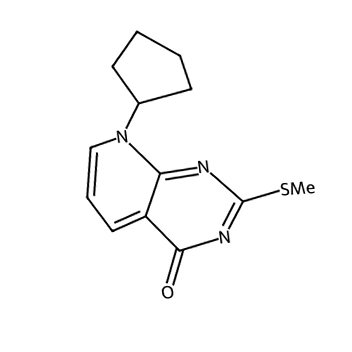 CSc1nc2n(C3CCCC3)cccc-2c(=O)n1